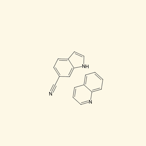 N#Cc1ccc2cc[nH]c2c1.c1ccc2ncccc2c1